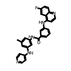 Cc1cc(NC(=O)c2cccc(Nc3ccnc4ccc(F)cc34)c2)cc(Nc2ccncc2)c1